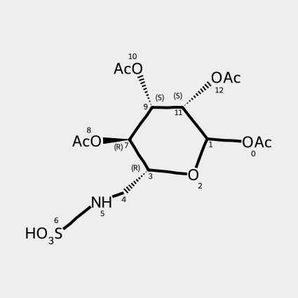 CC(=O)OC1O[C@H](CNS(=O)(=O)O)[C@@H](OC(C)=O)[C@H](OC(C)=O)[C@@H]1OC(C)=O